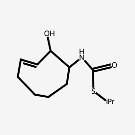 CC(C)SC(=O)NC1CCCC/C=C/C1O